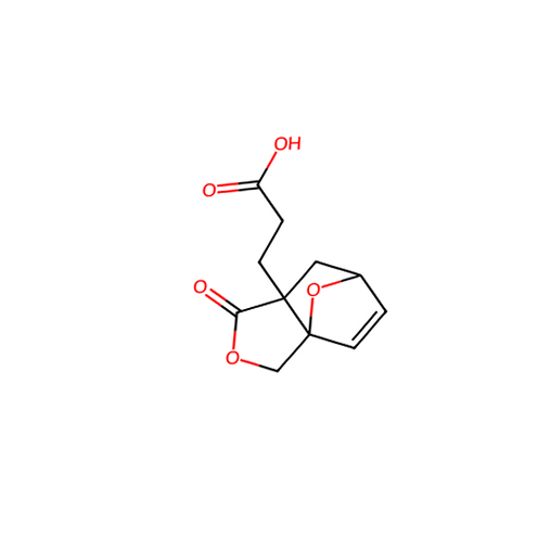 O=C(O)CCC12CC3C=CC1(COC2=O)O3